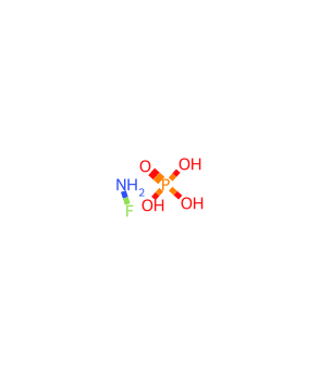 NF.O=P(O)(O)O